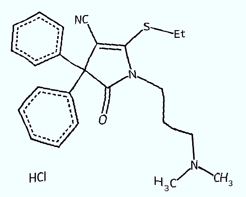 CCSC1=C(C#N)C(c2ccccc2)(c2ccccc2)C(=O)N1CCCN(C)C.Cl